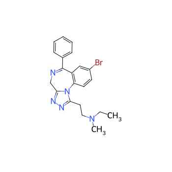 CCN(C)CCc1nnc2n1-c1ccc(Br)cc1C(c1ccccc1)=NC2